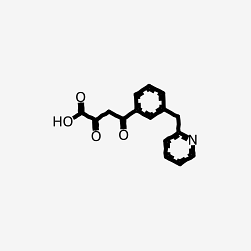 O=C(O)C(=O)CC(=O)c1cccc(Cc2ccccn2)c1